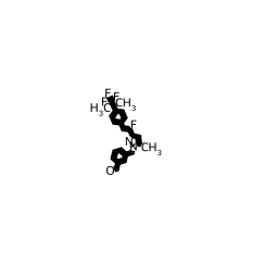 Cc1cc(/C(F)=C/c2ccc(C(C)(C)C(F)(F)F)cc2)nn1Cc1cccc(C=O)c1